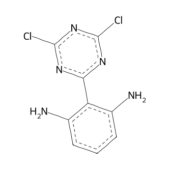 Nc1cccc(N)c1-c1nc(Cl)nc(Cl)n1